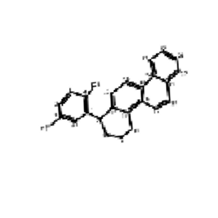 Fc1ccc(F)c(C2CCCc3c2ccc2c3ccc3ccccc32)c1